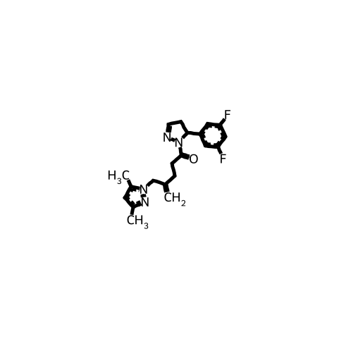 C=C(CCC(=O)N1N=CCC1c1cc(F)cc(F)c1)Cn1nc(C)cc1C